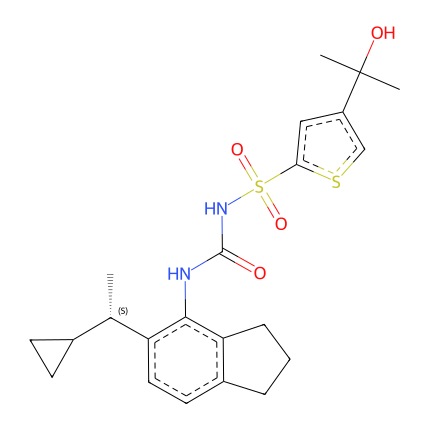 C[C@H](c1ccc2c(c1NC(=O)NS(=O)(=O)c1cc(C(C)(C)O)cs1)CCC2)C1CC1